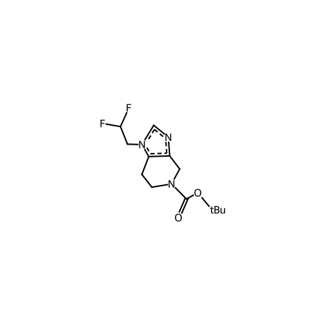 CC(C)(C)OC(=O)N1CCc2c(ncn2CC(F)F)C1